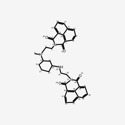 CN(CCN1C(=O)c2cccc3cccc(c23)C1=O)C1CCCC(NCCN2C(=O)c3cccc4cccc(c34)C2=O)C1